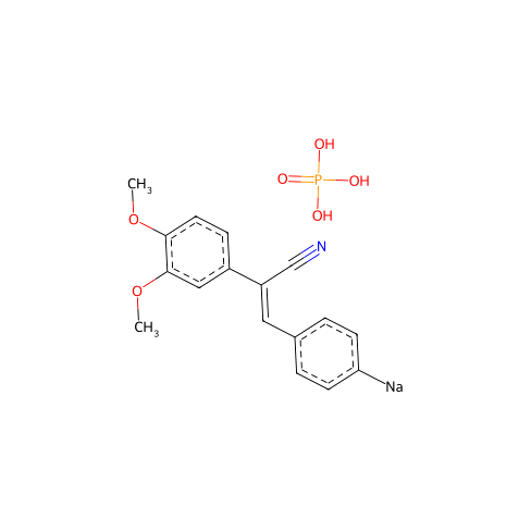 COc1ccc(C(C#N)=Cc2cc[c]([Na])cc2)cc1OC.O=P(O)(O)O